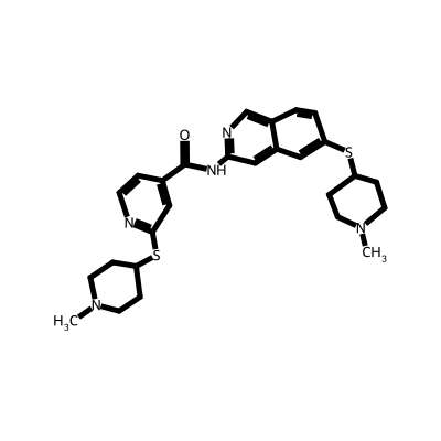 CN1CCC(Sc2ccc3cnc(NC(=O)c4ccnc(SC5CCN(C)CC5)c4)cc3c2)CC1